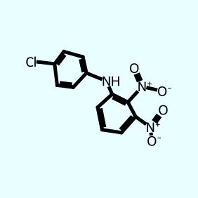 O=[N+]([O-])c1cccc(Nc2ccc(Cl)cc2)c1[N+](=O)[O-]